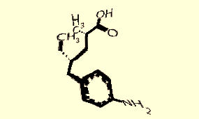 CC[C@@H](Cc1ccc(N)cc1)C[C@H](C)C(=O)O